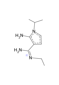 CC/N=C(/N)c1ccn(C(C)C)c1N